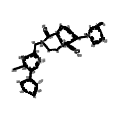 Cc1cn(-c2ccc3n(c2=O)CCN(Cc2nc(-c4ccccc4)c(C)s2)C3=O)cn1